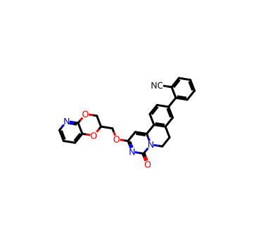 N#Cc1ccccc1-c1ccc2c(c1)CCn1c-2cc(OCC2COc3ncccc3O2)nc1=O